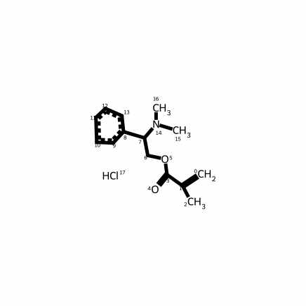 C=C(C)C(=O)OCC(c1ccccc1)N(C)C.Cl